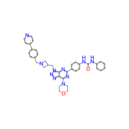 O=C(Nc1ccccc1)Nc1ccc(-c2nc(N3CCOCC3)c3nnn(CC4CN(Cc5ccc(-c6ccncc6)cc5)C4)c3n2)cc1